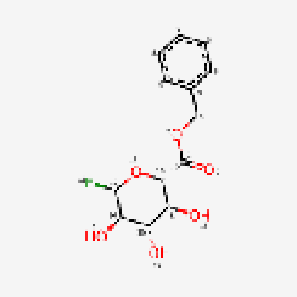 O=C(OCc1ccccc1)[C@H]1O[C@H](F)[C@H](O)[C@@H](O)[C@@H]1O